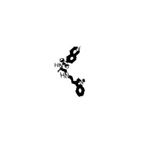 C[C@H](CNCCc1cn(C)c2ccccc12)NS(=O)(=O)c1ccc2cnccc2c1